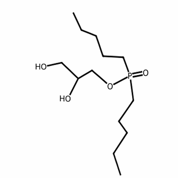 CCCCCP(=O)(CCCCC)OCC(O)CO